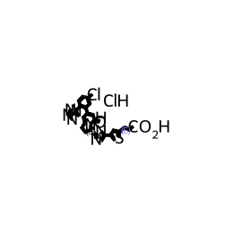 Cl.O=C(O)/C=C/c1cc(-c2cnc([C@@H]3CCc4cc(-c5cc(Cl)ccc5-n5cnnn5)cc(=O)n43)[nH]2)cs1